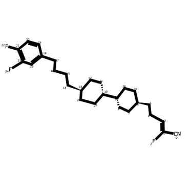 N#CC(F)=CCC[C@H]1CC[C@H]([C@H]2CC[C@H](CCCCc3ccc(F)c(F)c3)CC2)CC1